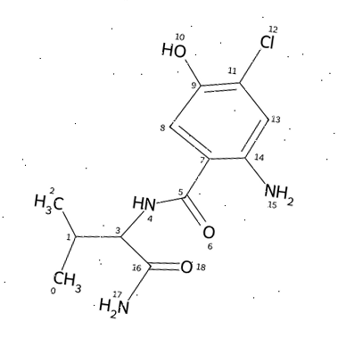 CC(C)C(NC(=O)c1cc(O)c(Cl)cc1N)C(N)=O